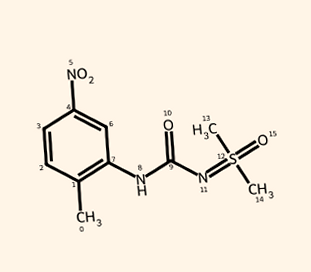 Cc1ccc([N+](=O)[O-])cc1NC(=O)N=S(C)(C)=O